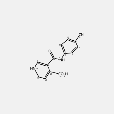 N#Cc1ccc(NC(=O)C2=CNCC=C2C(=O)O)cc1